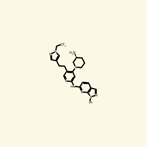 CC(C)n1ncc2ccc(Nc3cc(N4CCC[C@H](N)C4)c(CCc4cnn(CC(F)(F)F)c4)cn3)nc21